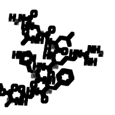 CCOC(=O)[C@H](C)NC(=O)CNC(=O)[C@H](Cc1ccccc1)NC(=O)[C@H](Cc1c[nH]cn1)NC(=O)[C@H](CCCNC(=N)N)NC(=O)[C@H](CC(C)C)NC(=O)[C@H](CNC(N)=O)NC(C)=O